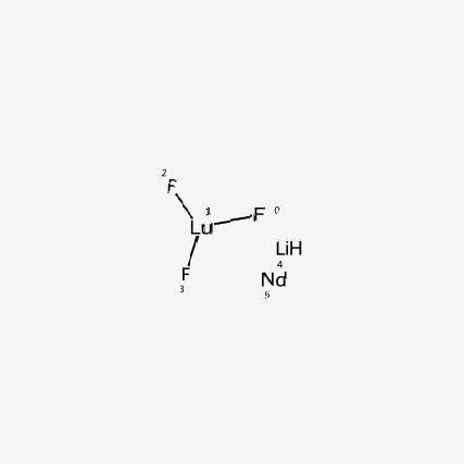 [F][Lu]([F])[F].[LiH].[Nd]